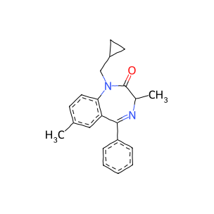 Cc1ccc2c(c1)C(c1ccccc1)=NC(C)C(=O)N2CC1CC1